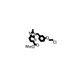 COC(=O)c1ccc2nc(C)n(Cc3cccc(OCCCl)c3)c2n1